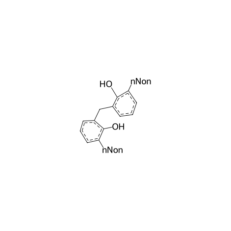 CCCCCCCCCc1cccc(Cc2cccc(CCCCCCCCC)c2O)c1O